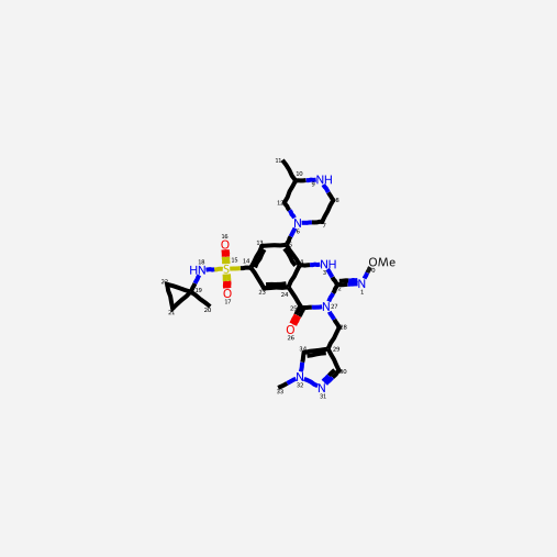 CO/N=c1\[nH]c2c(N3CCNC(C)C3)cc(S(=O)(=O)NC3(C)CC3)cc2c(=O)n1Cc1cnn(C)c1